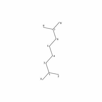 CC(C)CCCCC(C)C